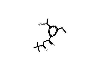 COc1cc(C(=O)CC(=O)C(C)(C)C)cc(C(C)O)c1